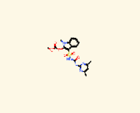 COC(=O)Oc1c(S(=O)(=O)NC(=O)Nc2nc(C)cc(C)n2)c2ccccc2n1C